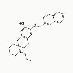 CCCN1CCCCC12CCc1cc(OCc3ccc4ccccc4c3)ccc1C2.Cl